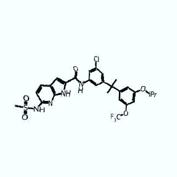 CC(C)Oc1cc(OC(F)(F)F)cc(C(C)(C)c2cc(Cl)cc(NC(=O)c3cc4ccc(NS(C)(=O)=O)nc4[nH]3)c2)c1